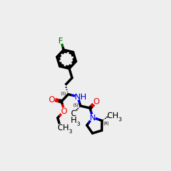 CCOC(=O)[C@H](CCc1ccc(F)cc1)N[C@@H](C)C(=O)N1CCC[C@H]1C